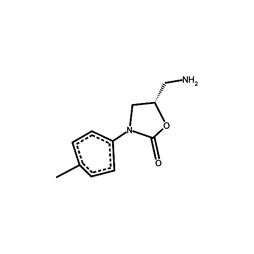 Cc1ccc(N2C[C@H](CN)OC2=O)cc1